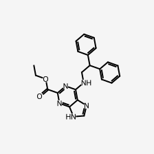 CCOC(=O)c1nc(NCC(c2ccccc2)c2ccccc2)c2nc[nH]c2n1